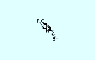 FC(F)(F)c1cn2cc(SCSS)nc2cn1